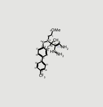 COCCN(Sc1ccc(-c2ccc(C(F)(F)F)cc2)cc1)C(C)(C)/C(=C/N)NN